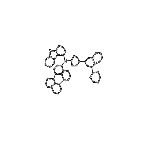 c1ccc(-c2cc(-c3ccc(N(c4ccc(-c5cccc6cccc(-c7ccccc7)c56)cc4)c4cccc5sc6ccccc6c45)cc3)cc3ccccc23)cc1